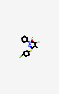 Cc1c(Sc2ccc(Cl)cc2)nn(-c2ccccc2)c(=O)c1C#N